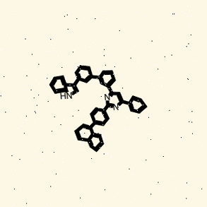 c1ccc(-c2cc(-c3cccc(-c4cccc(-c5c[nH]c6ccccc56)c4)c3)nc(-c3ccc(-c4cccc5ccccc45)cc3)n2)cc1